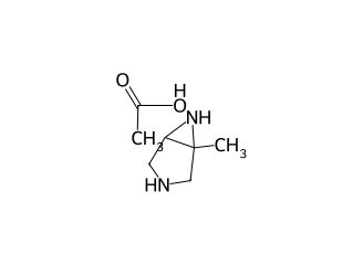 CC(=O)O.CC12CNCC1N2